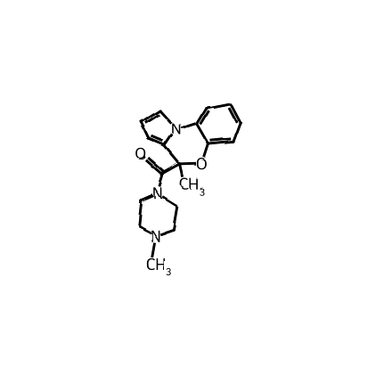 CN1CCN(C(=O)C2(C)Oc3ccccc3-n3cccc32)CC1